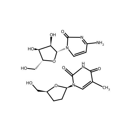 Cc1cn([C@H]2CC[C@@H](CO)O2)c(=O)[nH]c1=O.Nc1ccn([C@@H]2O[C@H](CO)[C@@H](O)[C@H]2O)c(=O)n1